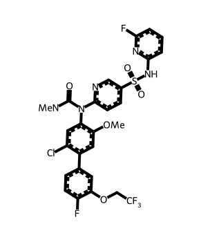 CNC(=O)N(c1ccc(S(=O)(=O)Nc2cccc(F)n2)cn1)c1cc(Cl)c(-c2ccc(F)c(OCC(F)(F)F)c2)cc1OC